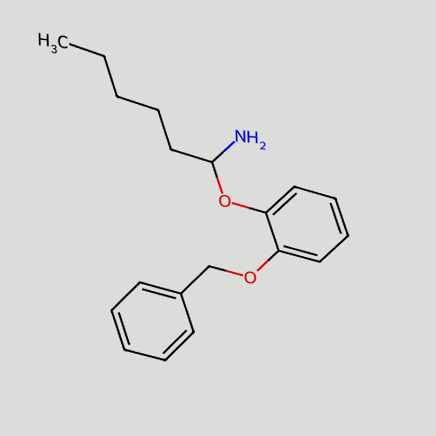 CCCCCC(N)Oc1ccccc1OCc1ccccc1